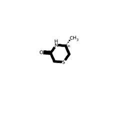 C[C@@H]1CSCC(=O)N1